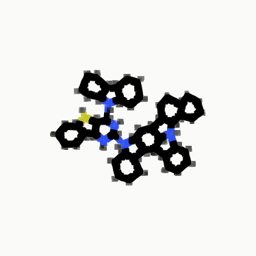 c1ccc2c(c1)ccc1c3cc4c(c5ccccc5n4-c4nc(-n5c6ccccc6c6ccccc65)c5sc6ccccc6c5n4)c4c5ccccc5n(c21)c34